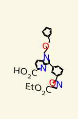 CCOC(=O)c1cnc(-c2cccc(-c3cn(CCOCc4ccccc4)c4ccc(C(=O)O)nc34)c2)o1